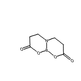 O=C1CCN2CCC(=O)OB2O1